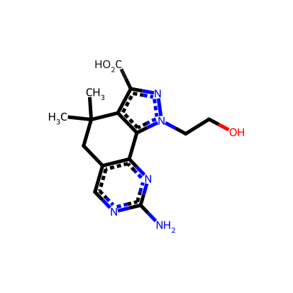 CC1(C)Cc2cnc(N)nc2-c2c1c(C(=O)O)nn2CCO